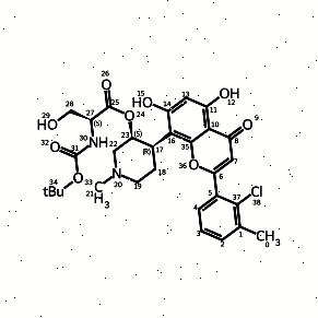 Cc1cccc(-c2cc(=O)c3c(O)cc(O)c([C@H]4CCN(C)C[C@H]4OC(=O)[C@H](CO)NC(=O)OC(C)(C)C)c3o2)c1Cl